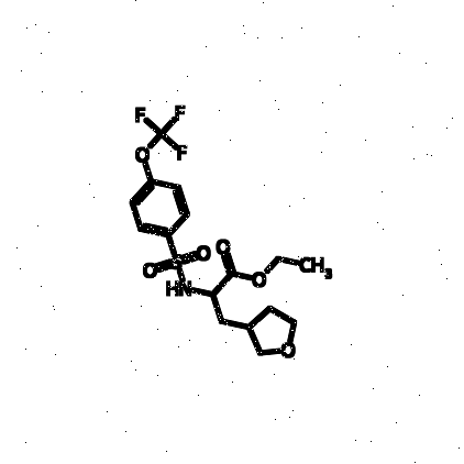 CCOC(=O)C(CC1CCOC1)NS(=O)(=O)c1ccc(OC(F)(F)F)cc1